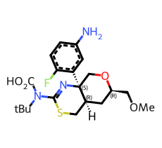 COC[C@H]1C[C@H]2CSC(N(C(=O)O)C(C)(C)C)=N[C@@]2(c2cc(N)ccc2F)CO1